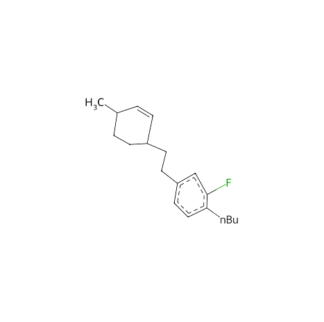 CCCCc1ccc(CCC2C=CC(C)CC2)cc1F